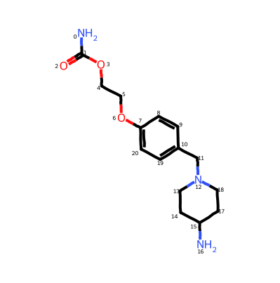 NC(=O)OCCOc1ccc(CN2CCC(N)CC2)cc1